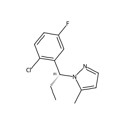 CC[C@H](c1cc(F)ccc1Cl)n1nccc1C